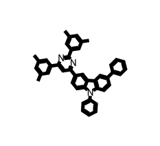 Cc1cc(C)cc(-c2cc(-c3ccc4c(c3)c3cc(-c5ccccc5)ccc3n4-c3ccccc3)nc(-c3cc(C)cc(C)c3)n2)c1